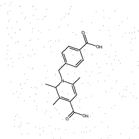 CC1=CC(C(=O)O)=C(C)C(C)N1Cc1ccc(C(=O)O)cc1